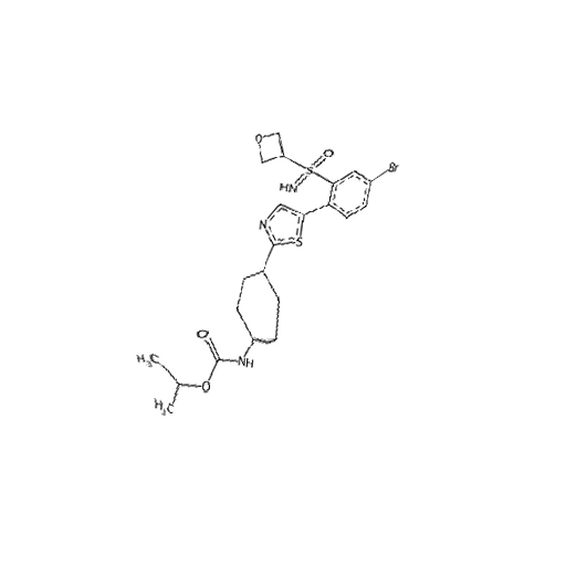 CC(C)OC(=O)NC1CCC(c2ncc(-c3ccc(Br)cc3S(=N)(=O)C3COC3)s2)CC1